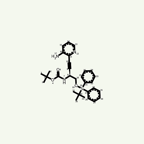 CC(C)(C)OC(=O)N[C@@H](C#Cc1ncccc1N)CO[Si](c1ccccc1)(c1ccccc1)C(C)(C)C